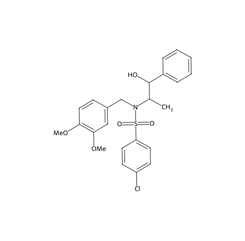 COc1ccc(CN(C(C)C(O)c2ccccc2)S(=O)(=O)c2ccc(Cl)cc2)cc1OC